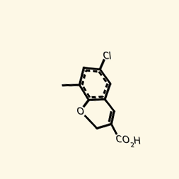 Cc1cc(Cl)cc2c1OCC(C(=O)O)=C2